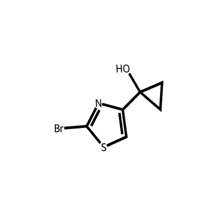 OC1(c2csc(Br)n2)CC1